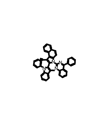 C#Cc1c(-c2c(C)c3ccccc3n2-c2ccccc2)n(-c2nc(-c3ccccc3)c3ccccc3n2)c2ccc3ccccc3c12